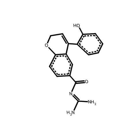 NC(N)=NC(=O)c1ccc2c(c1)C(c1ccccc1O)=CCO2